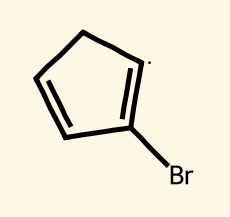 BrC1=[C]CC=C1